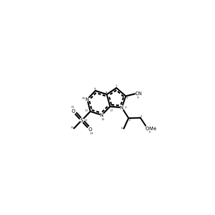 COCC(C)n1c(C#N)cc2cnc(S(C)(=O)=O)nc21